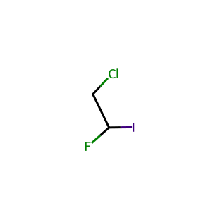 FC(I)CCl